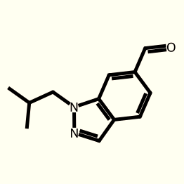 CC(C)Cn1ncc2ccc(C=O)cc21